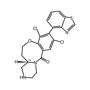 O=C1c2cc(Cl)c(-c3cccc4scnc34)c(Cl)c2OCC[C@H]2CNCCN12